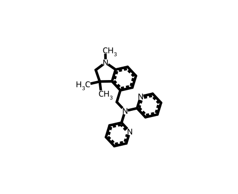 CN1CC(C)(C)c2c(CN(c3ccccn3)c3ccccn3)cccc21